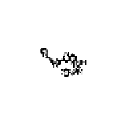 c1nc2ccc(Nc3nnc(CN4CCOCC4)s3)nc2cc1-c1cnn(CCCN2CCCC2)c1